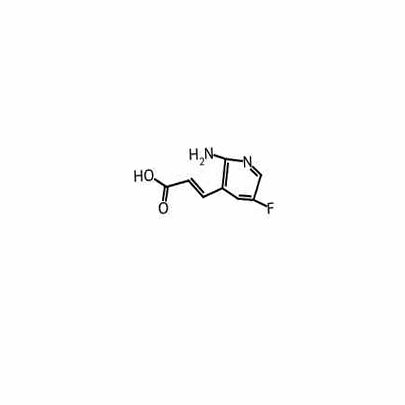 Nc1ncc(F)cc1C=CC(=O)O